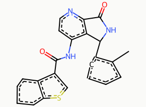 Cc1ccccc1C1NC(=O)c2nccc(NC(=O)c3csc4ccccc34)c21